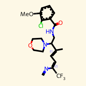 C=N/C(=C\C=C(/C)C(CNC(=O)c1cccc(OC)c1Cl)N1CCOCC1)C(F)(F)F